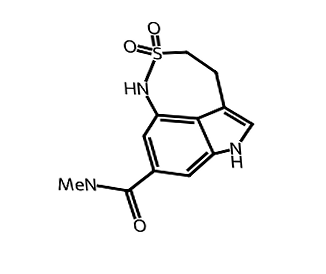 CNC(=O)c1cc2c3c(c[nH]c3c1)CCS(=O)(=O)N2